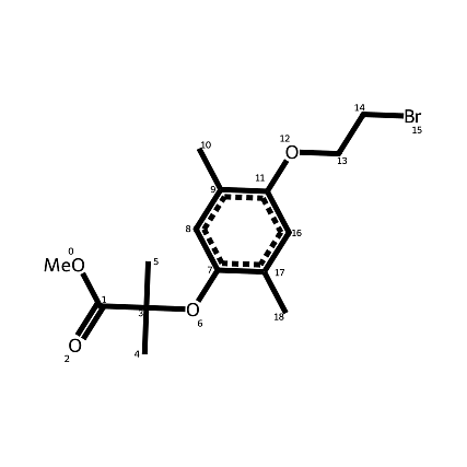 COC(=O)C(C)(C)Oc1cc(C)c(OCCBr)cc1C